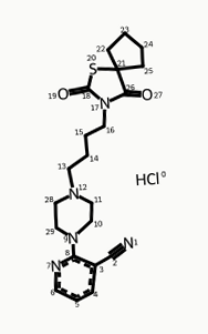 Cl.N#Cc1cccnc1N1CCN(CCCCN2C(=O)SC3(CCCC3)C2=O)CC1